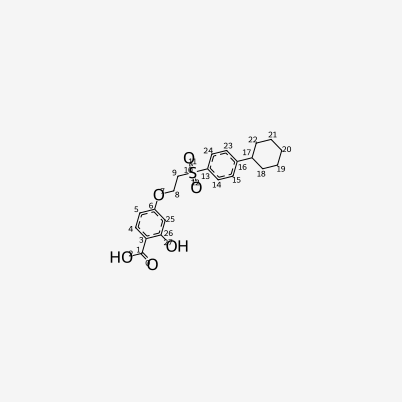 O=C(O)c1ccc(OCCS(=O)(=O)c2ccc(C3CCCCC3)cc2)cc1O